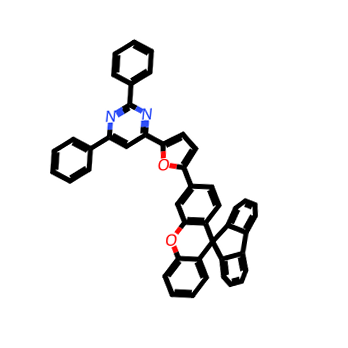 c1ccc(-c2cc(-c3ccc(-c4ccc5c(c4)Oc4ccccc4C54c5ccccc5-c5ccccc54)o3)nc(-c3ccccc3)n2)cc1